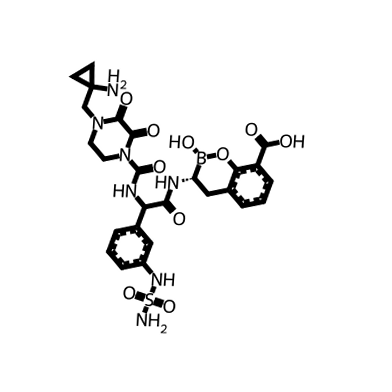 NC1(CN2CCN(C(=O)NC(C(=O)N[C@H]3Cc4cccc(C(=O)O)c4OB3O)c3cccc(NS(N)(=O)=O)c3)C(=O)C2=O)CC1